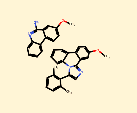 COc1ccc2c(c1)c(N)nc1ccccc12.COc1ccc2c3ccccc3n3c(-c4c(C)cccc4C)cnc3c2c1